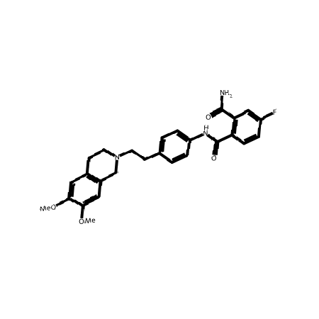 COc1cc2c(cc1OC)CN(CCc1ccc(NC(=O)c3ccc(F)cc3C(N)=O)cc1)CC2